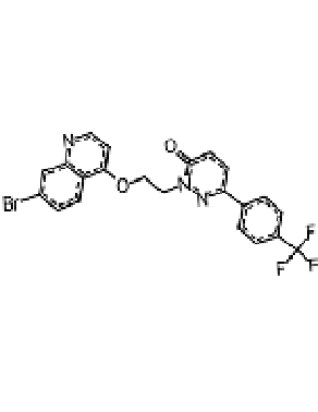 O=c1ccc(-c2ccc(C(F)(F)F)cc2)nn1CCOc1ccnc2cc(Br)ccc12